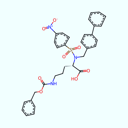 O=C(NCCC[C@@H](C(=O)O)N(Cc1ccc(-c2ccccc2)cc1)S(=O)(=O)c1ccc([N+](=O)[O-])cc1)OCc1ccccc1